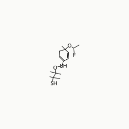 CC(F)OC1(C)C=CC(BOC(C)(C)C(C)(C)S)=CC1